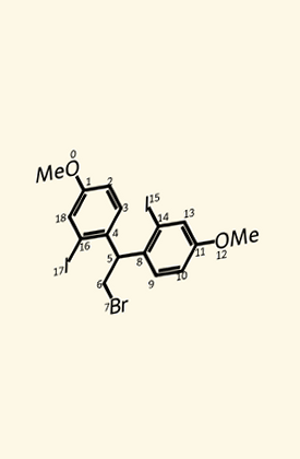 COc1ccc(C(CBr)c2ccc(OC)cc2I)c(I)c1